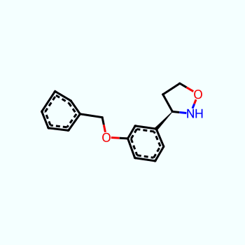 c1ccc(COc2cccc([C@H]3CCON3)c2)cc1